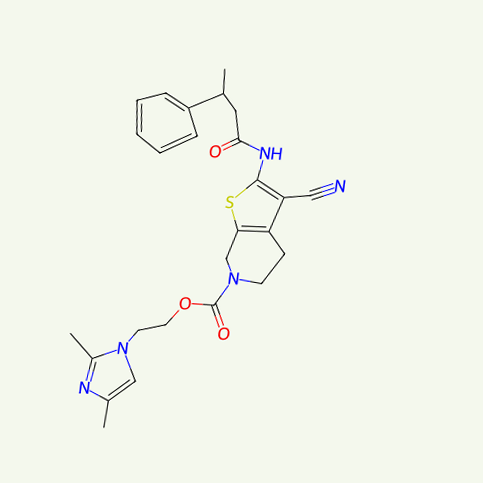 Cc1cn(CCOC(=O)N2CCc3c(sc(NC(=O)CC(C)c4ccccc4)c3C#N)C2)c(C)n1